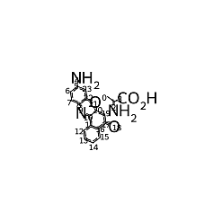 C[C@H](N)C(=O)O.Nc1ccc2nc3c4ccccc4c(=O)cc-3oc2c1